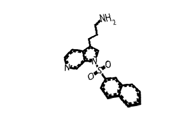 NCCCc1cn(S(=O)(=O)c2ccc3ccccc3c2)c2cnccc12